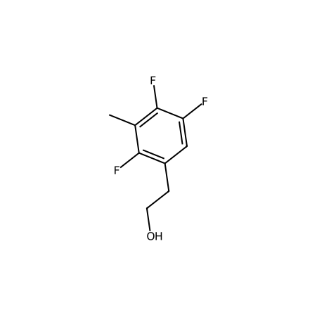 Cc1c(F)c(F)cc(CCO)c1F